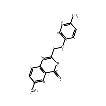 COc1ccc2nc(COc3ccc(C)nc3)[nH]c(=O)c2c1